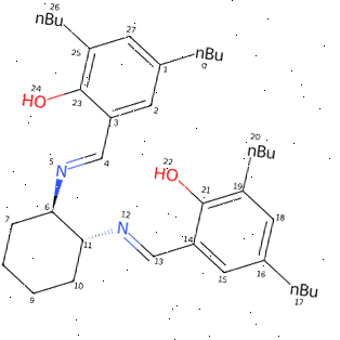 CCCCc1cc(/C=N/[C@@H]2CCCC[C@H]2/N=C/c2cc(CCCC)cc(CCCC)c2O)c(O)c(CCCC)c1